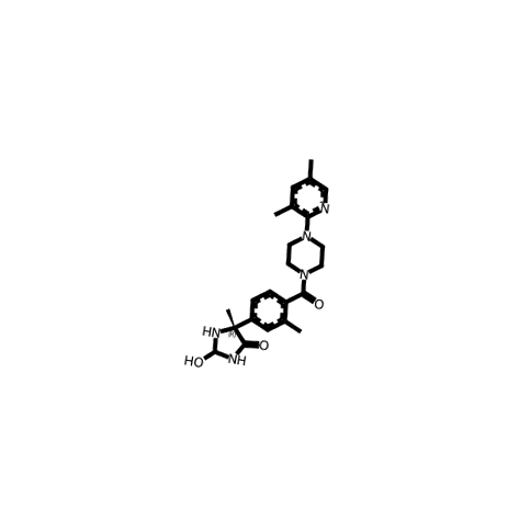 Cc1cnc(N2CCN(C(=O)c3ccc([C@@]4(C)NC(O)NC4=O)cc3C)CC2)c(C)c1